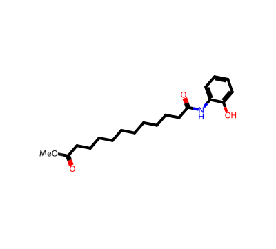 COC(=O)CCCCCCCCCCC(=O)Nc1ccccc1O